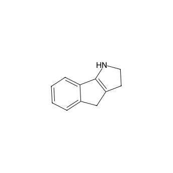 c1ccc2c(c1)CC1=C2NCC1